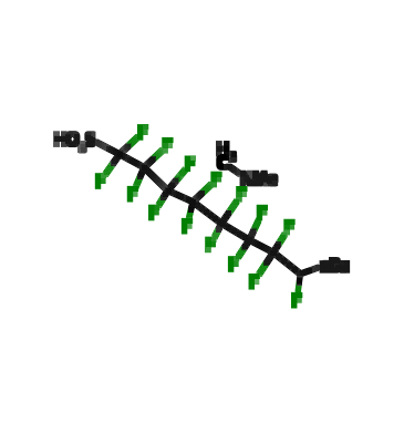 CCCCC(F)C(F)(F)C(F)(F)C(F)(F)C(F)(F)C(F)(F)C(F)(F)C(F)(F)S(=O)(=O)O.CNC